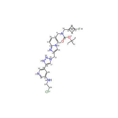 CC(C)(C)OC(=O)N(Cc1ccc2nc(Cn3cc(-c4cncc(NCCCl)c4)nn3)cn2c1)CC12CC(F)(C1)C2